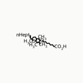 CCCCCCCC=CC1(C)CCc2c(C)c(OCCCCCCCC(=O)O)c(C)c(C)c2O1